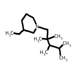 CCC1CCCN(CC(C)(C)C(C)C(C)C)C1